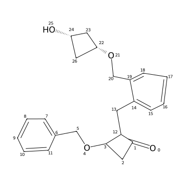 O=C1CC(OCc2ccccc2)C1Cc1ccccc1CO[C@H]1C[C@@H](O)C1